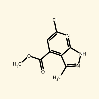 COC(=O)c1cc(Cl)nc2[nH]nc(C)c12